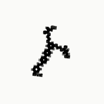 C=C(CO)C(=O)OCCOc1cc(OCCOC(=O)C(C)(C)CO)cc(-c2ccc(-c3ccc(CCC4CCC(CCCCC)CC4)cc3)cc2)c1